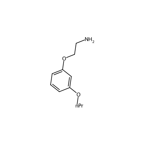 CCCOc1cccc(OCCN)c1